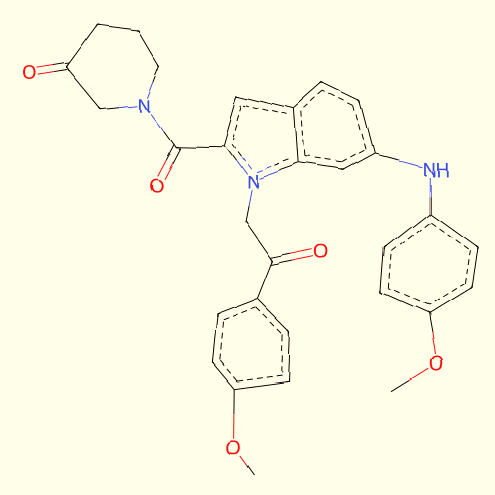 COc1ccc(Nc2ccc3cc(C(=O)N4CCCC(=O)C4)n(CC(=O)c4ccc(OC)cc4)c3c2)cc1